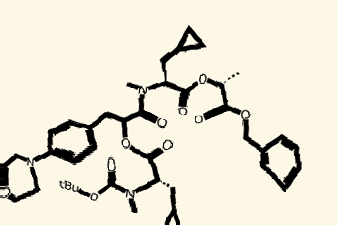 C[C@@H](OC(=O)[C@H](CC1CC1)N(C)C(=O)C(Cc1ccc(N2CCOCC2)cc1)OC(=O)[C@H](CC1CC1)N(C)C(=O)OC(C)(C)C)C(=O)OCc1ccccc1